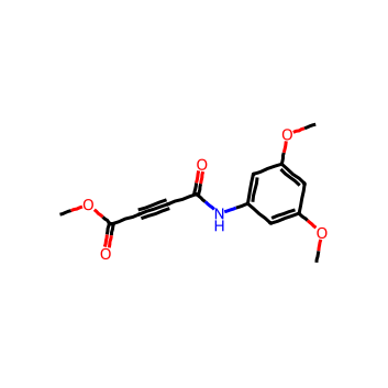 COC(=O)C#CC(=O)Nc1cc(OC)cc(OC)c1